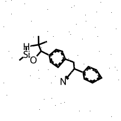 C[SiH](C)OC(c1ccc(CC(C#N)c2ccccc2)cc1)C(C)(C)C